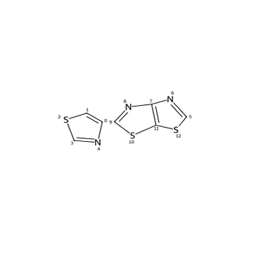 c1cscn1.c1nc2ncsc2s1